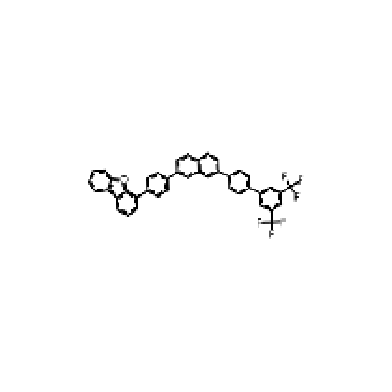 FC(F)(F)c1cc(-c2ccc(-c3ccc4ccc(-c5ccc(-c6cccc7c6oc6ccccc67)cc5)cc4c3)cc2)cc(C(F)(F)F)c1